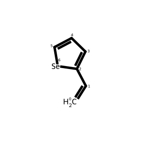 C=Cc1ccc[se]1